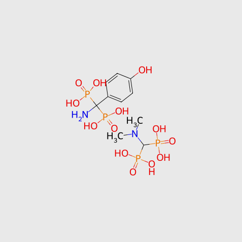 CN(C)C(P(=O)(O)O)P(=O)(O)O.NC(c1ccc(O)cc1)(P(=O)(O)O)P(=O)(O)O